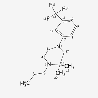 CCCN1CCN(c2cccc(C(F)(F)F)c2)CC1(C)C